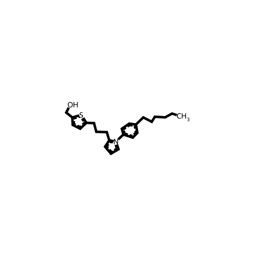 CCCCCCc1ccc(-n2cccc2CCCc2ccc(CO)s2)cc1